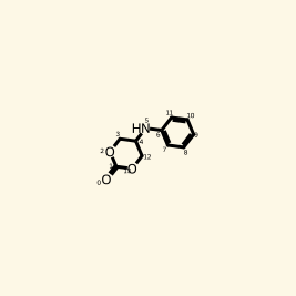 O=C1OCC(Nc2ccccc2)CO1